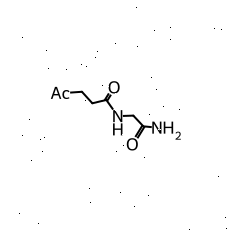 CC(=O)CCC(=O)NCC(N)=O